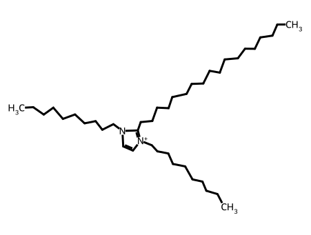 CCCCCCCCCCCCCCCCCCc1n(CCCCCCCCCC)cc[n+]1CCCCCCCCCC